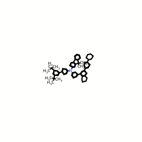 CC(C)(C)c1cc(-c2ccc(N(c3cccc(-c4cc(-c5ccc(C6CCCCC6)cc5)cc5c4CCCC5)c3)c3ccc4c(c3)C(C)(C)c3ccccc3-4)cc2)cc(C(C)(C)C)c1